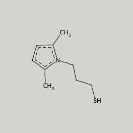 Cc1ccc(C)n1CCCS